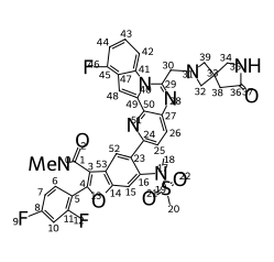 CNC(=O)c1c(-c2ccc(F)cc2F)oc2cc(N(C)S(C)(=O)=O)c(-c3ccc4nc(CN5CC6(CNC(=O)C6)C5)n5c6cccc(F)c6cc5c4n3)cc12